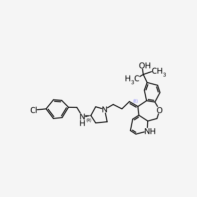 CC(C)(O)c1ccc2c(c1)/C(=C/CCN1CC[C@@H](NCc3ccc(Cl)cc3)C1)C1=CC=CNC1CO2